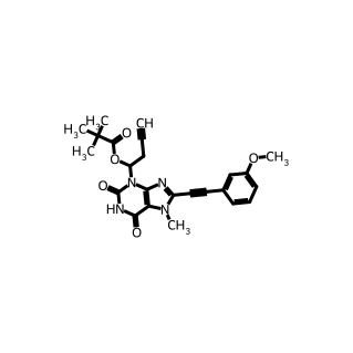 C#CCC(OC(=O)C(C)(C)C)n1c(=O)[nH]c(=O)c2c1nc(C#Cc1cccc(OC)c1)n2C